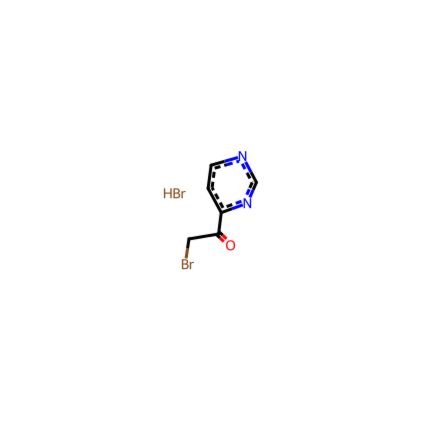 Br.O=C(CBr)c1ccncn1